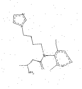 Cc1cccc(C)c1N(CCCCn1ccnc1)C(=O)CC(C)N